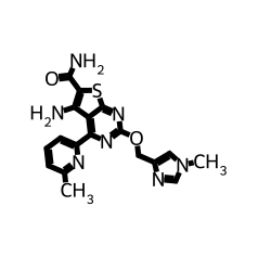 Cc1cccc(-c2nc(OCc3cn(C)cn3)nc3sc(C(N)=O)c(N)c23)n1